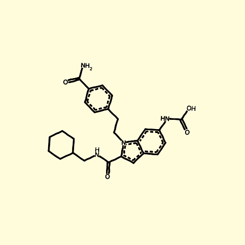 NC(=O)c1ccc(CCn2c(C(=O)NCC3CCCCC3)cc3ccc(NC(=O)O)cc32)cc1